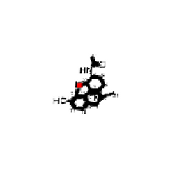 CC(=O)N[C@H]1CCC2C3Cc4ccc(O)c5c4C2(CCN3C)[C@H]1O5